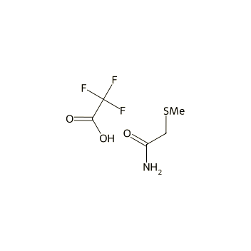 CSCC(N)=O.O=C(O)C(F)(F)F